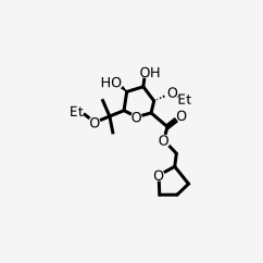 CCO[C@@H]1C(C(=O)OCC2CCCO2)OC(C(C)(C)OCC)[C@@H](O)C1O